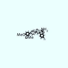 COc1ccc(N2CCN(C(=O)CC(OC(N)=O)c3ccc(C)cc3)CC2)cc1OC